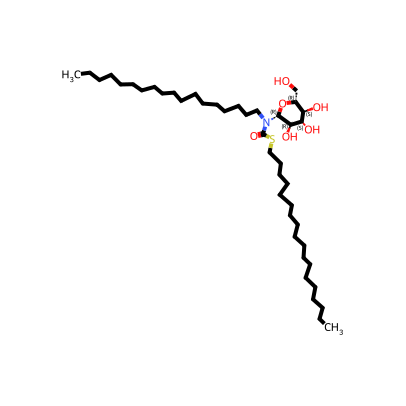 CCCCCCCCCCCCCCCCCCSC(=O)N(CCCCCCCCCCCCCCCCCC)[C@@H]1O[C@H](CO)[C@@H](O)[C@H](O)[C@H]1O